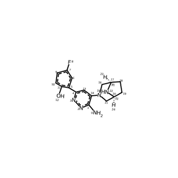 Nc1nnc(-c2cc(F)ccc2O)cc1N1C[C@H]2CC[C@@H](C1)N2